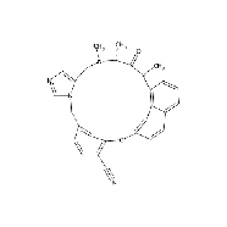 C[C@@H]1C(=O)N(C)c2cccc3ccc(cc23)Oc2cc(ccc2C#N)Cn2cncc2CN1C